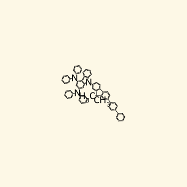 CC1(C)c2cc(-c3ccc(-c4ccccc4)cc3)ccc2-c2ccc(-n3c4ccccc4c4c(N(c5ccccc5)c5ccccc5)cc(N(c5ccccc5)c5ccccc5)cc43)cc21